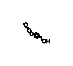 COCCOCOc1ccc(CCO)cc1